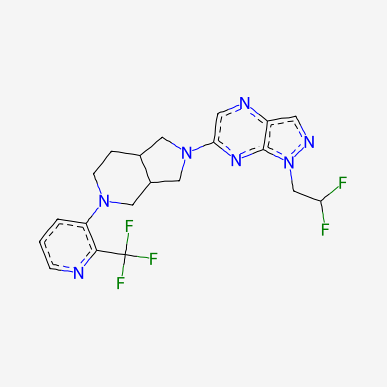 FC(F)Cn1ncc2ncc(N3CC4CCN(c5cccnc5C(F)(F)F)CC4C3)nc21